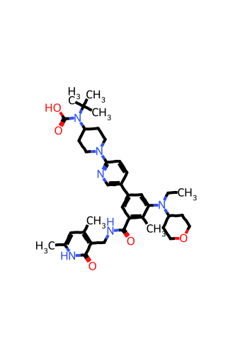 CCN(c1cc(-c2ccc(N3CCC(N(C(=O)O)C(C)(C)C)CC3)nc2)cc(C(=O)NCc2c(C)cc(C)[nH]c2=O)c1C)C1CCOCC1